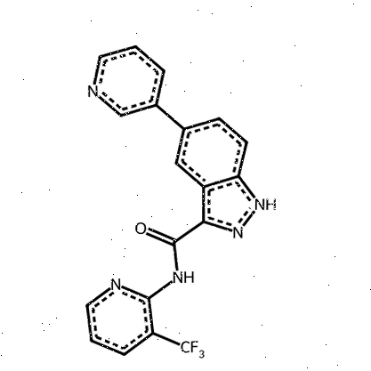 O=C(Nc1ncccc1C(F)(F)F)c1n[nH]c2ccc(-c3cccnc3)cc12